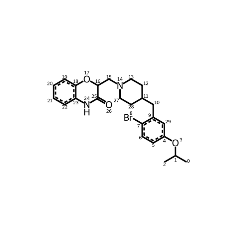 CC(C)Oc1ccc(Br)c(CC2CCN(CC3Oc4ccccc4NC3=O)CC2)c1